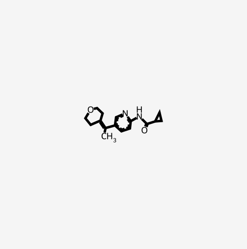 CC(=C1CCOCC1)c1ccc(NC(=O)C2CC2)nc1